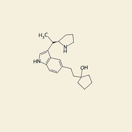 CC(c1c[nH]c2ccc(CCC3(O)CCCC3)cc12)[C@H]1CCCN1